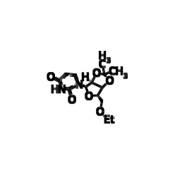 CCOC[C@H]1O[C@@H](n2ccc(=O)[nH]c2=O)[C@H]2OC(C)(C)OC12